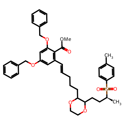 COC(=O)c1c(C=CCCCC2OCCOC2CC[C@H](C)S(=O)(=O)c2ccc(C)cc2)cc(OCc2ccccc2)cc1OCc1ccccc1